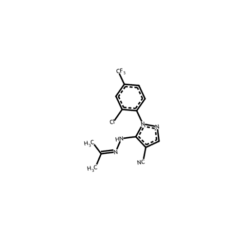 CC(C)=NNc1c(C#N)cnn1-c1ccc(C(F)(F)F)cc1Cl